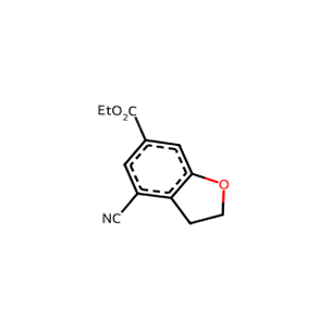 CCOC(=O)c1cc(C#N)c2c(c1)OCC2